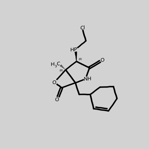 C[C@@]12OC(=O)C1(CC1C=CCCC1)NC(=O)[C@@H]2PCCl